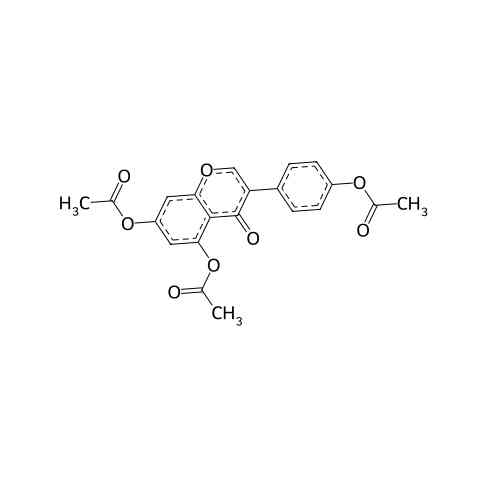 CC(=O)Oc1ccc(-c2coc3cc(OC(C)=O)cc(OC(C)=O)c3c2=O)cc1